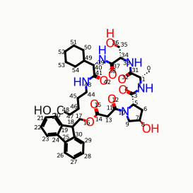 C[C@H](NC(=O)[C@@H]1C[C@@H](O)CN1C(=O)CC(=O)OCC1c2ccccc2-c2ccccc21)C(=O)N[C@@H](CO)C(=O)N[C@H](C(=O)NCCCCC(=O)O)C1CCCCC1